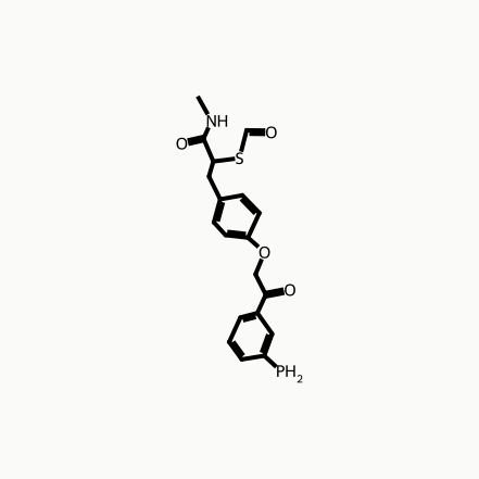 CNC(=O)C(Cc1ccc(OCC(=O)c2cccc(P)c2)cc1)SC=O